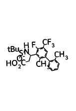 Cc1ccccc1-c1cc(C(F)(F)F)c(F)c(C(CC(=O)O)N[S@+]([O-])C(C)(C)C)c1C